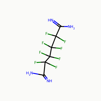 N=C(N)C(F)(F)C(F)(F)C(F)(F)C(F)(F)C(=N)N